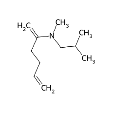 C=CCCC(=C)N(C)CC(C)C